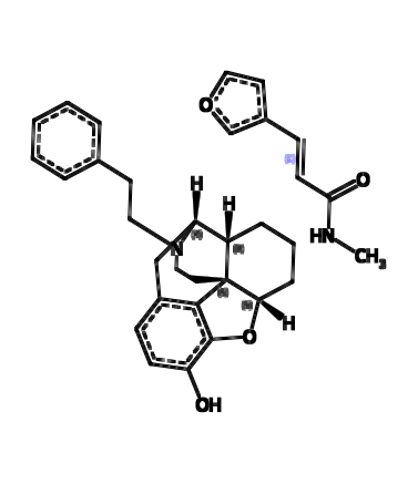 CNC(=O)/C=C/c1ccoc1.Oc1ccc2c3c1O[C@H]1CCC[C@H]4[C@@H](C2)N(CCc2ccccc2)CC[C@]314